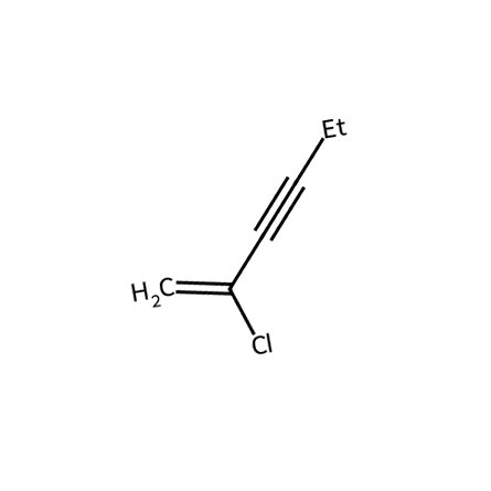 C=C(Cl)C#CCC